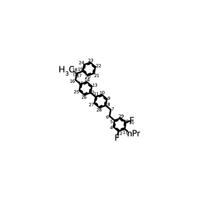 CCCc1c(F)cc(CCc2ccc(-c3ccc(C[C@H](C)c4ccccc4)cc3)cc2)cc1F